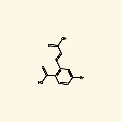 O=C(O)/C=C/c1cc(Br)ccc1C(=O)O